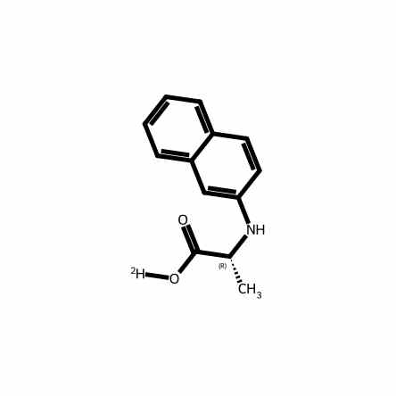 [2H]OC(=O)[C@@H](C)Nc1ccc2ccccc2c1